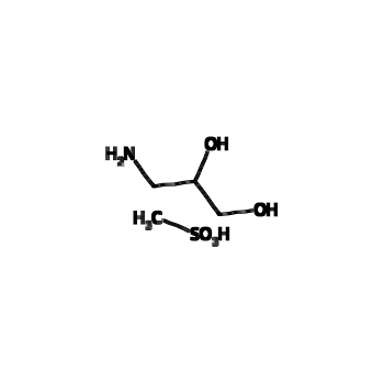 CS(=O)(=O)O.NCC(O)CO